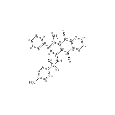 Cc1ccc(S(=O)(=O)Nc2cc(-c3ccccc3)c(N)c3c2C(=O)c2ccccc2C3=S)cc1